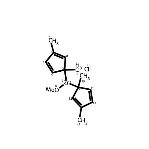 C[O][Zr+]([C]1(C)C=CC(C)=C1)[C]1(C)C=CC(C)=C1.[Cl-]